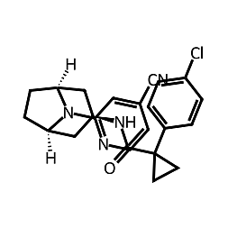 N#Cc1ccnc(N2[C@@H]3CC[C@H]2C[C@@H](NC(=O)C2(c4ccc(Cl)cc4)CC2)C3)c1